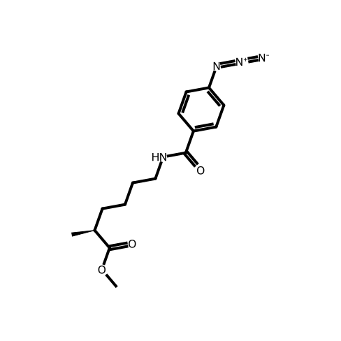 COC(=O)[C@@H](C)CCCCNC(=O)c1ccc(N=[N+]=[N-])cc1